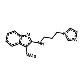 CNc1c(NCCCn2ccnc2)nn2ccccc12